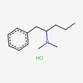 CCCC(Cc1ccccc1)N(C)C.Cl